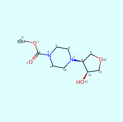 CC(C)(C)OC(=O)N1CCN([C@H]2COC[C@H]2O)CC1